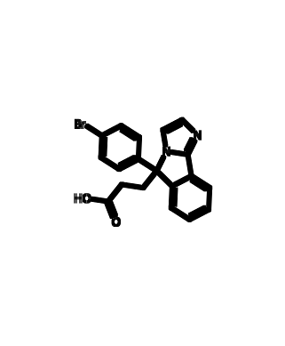 O=C(O)CCC1(c2ccc(Br)cc2)c2ccccc2-c2nccn21